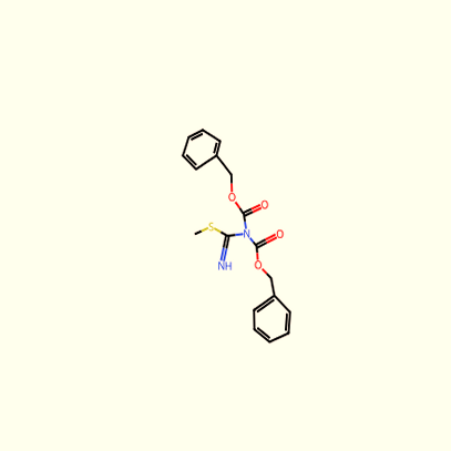 CSC(=N)N(C(=O)OCc1ccccc1)C(=O)OCc1ccccc1